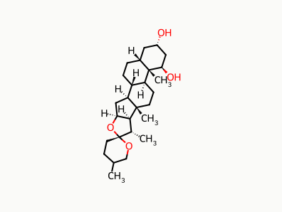 CC1CC[C@@]2(OC1)O[C@H]1C[C@H]3[C@@H]4CC[C@@H]5C[C@H](O)C[C@@H](O)[C@]5(C)[C@H]4CC[C@]3(C)[C@H]1[C@@H]2C